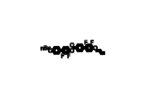 C=CCCOc1ccc(C2CCC(C(=O)Oc3ccc(C4CCC(OCCCC)CC4)c(F)c3F)CC2)c(F)c1F